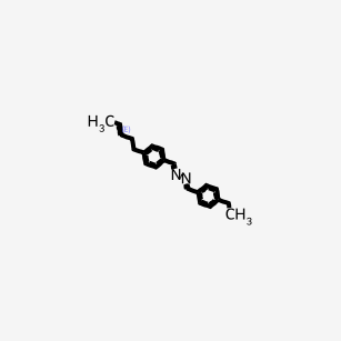 C/C=C/CCc1ccc(C=NN=Cc2ccc(CC)cc2)cc1